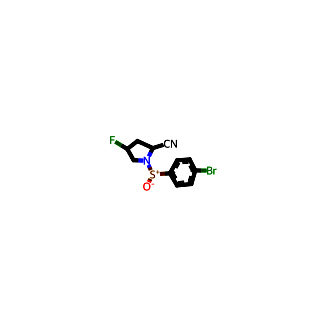 N#CC1CC(F)CN1[S+]([O-])c1ccc(Br)cc1